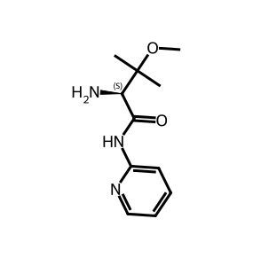 COC(C)(C)[C@H](N)C(=O)Nc1ccccn1